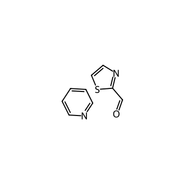 O=Cc1nccs1.c1ccncc1